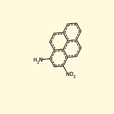 Nc1cc([N+](=O)[O-])c2ccc3cccc4ccc1c2c43